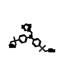 CC(C)(C)CC(C)(C)c1ccc(N(Cn2cncn2)c2ccc(C(C)(C)CC(C)(C)C)cc2)cc1